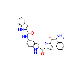 NC1C(=O)C2=NC(C(=O)c3cc4cc(NC(=O)c5cc6ccccc6[nH]5)ccc4[nH]3)C3CC23C2CC=CC=C12